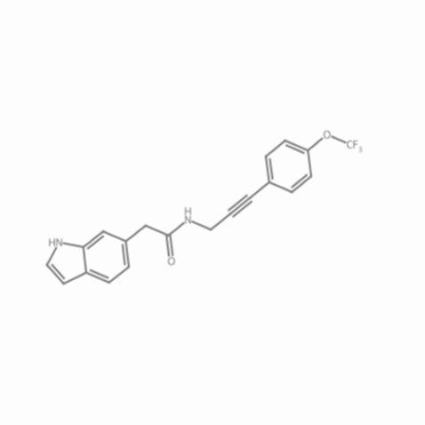 O=C(Cc1ccc2cc[nH]c2c1)NCC#Cc1ccc(OC(F)(F)F)cc1